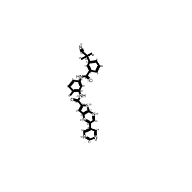 Cc1ccc(NC(=O)c2cccc(C(C)(C)C#N)c2)cc1NC(=O)c1cc2nc(-c3cncnc3)cnc2s1